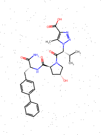 Cc1c(C(=O)O)nnn1[C@@H](C(=O)N1C[C@H](O)C[C@H]1C(=O)N[C@H](Cc1ccc(-c2ccccc2)cc1)C(N)=O)C(C)C